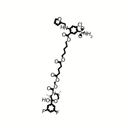 C[C@@H]1CO[C@@](O)(c2cc(F)cc(F)c2)[C@H](C)N1C(=O)OCOC(=O)CCCC(=O)OCCCCCOC(=O)c1cc(S(N)(=O)=O)c(Cl)cc1NCc1ccco1